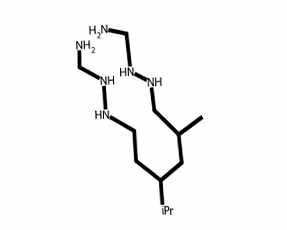 CC(CNNCN)CC(CCNNCN)C(C)C